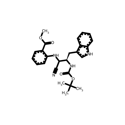 COC(=O)c1ccccc1NC(C#N)[C@@H](Cc1c[nH]c2ccccc12)NC(=O)OC(C)(C)C